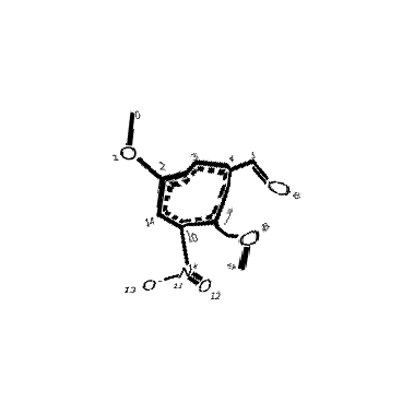 COc1cc(C=O)c(OC)c([N+](=O)[O-])c1